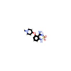 CN1CCC(Oc2cccc3c2C(N)=NS(=O)(=O)N3)CC1